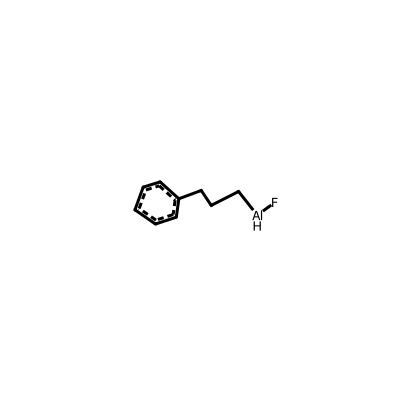 [F][AlH][CH2]CCc1ccccc1